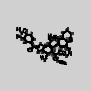 Cc1ccc(C(=O)N2Cc3c(C)c(-c4cc(F)c5c(c4C)CCCO5)c([C@H](OC(C)(C)C)C(=O)O)c(C)c3C2)cc1F